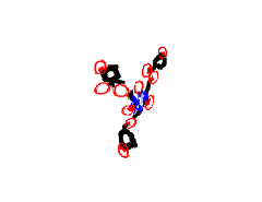 O=CC1(COCCn2c(=O)n(CCOCC3CCC4OC4C3)c(=O)n(CCOC(=O)C3CCC4OC4C3)c2=O)CCC2OC2C1